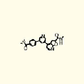 CNC(=O)c1cc2c(-c3cncc(-c4ccc(C(=O)N(C)C)cc4)c3)ccnc2o1